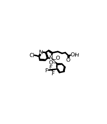 O=C(O)CCCc1cc2nc(Cl)ccc2n1S(=O)(=O)c1ccccc1C(F)(F)F